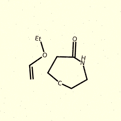 C=COCC.O=C1CCCCCN1